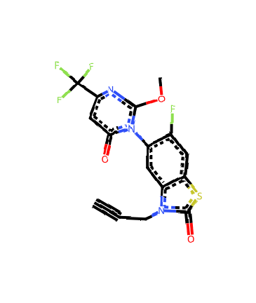 C#CCn1c(=O)sc2cc(F)c(-n3c(OC)nc(C(F)(F)F)cc3=O)cc21